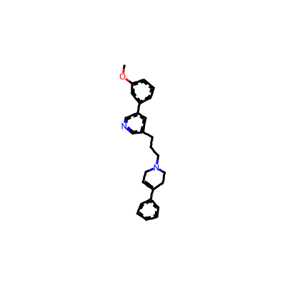 COc1cccc(-c2cncc(CCCN3CC=C(c4ccccc4)CC3)c2)c1